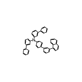 c1ccc(-c2cccc(N(c3ccc(-c4cccc(-c5cccc6ccccc56)c4)cc3)c3cccc(-c4ccccc4)c3)c2)cc1